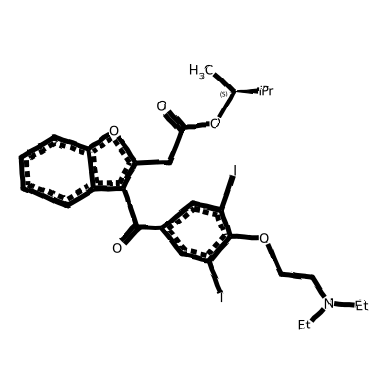 CCN(CC)CCOc1c(I)cc(C(=O)c2c(CC(=O)O[C@@H](C)C(C)C)oc3ccccc23)cc1I